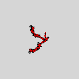 CCCCCCCCC1C(CCCC)CCC(CCCCCCCCN2C(=O)c3ccc(Oc4ccc(C(C)(C)c5ccc(Oc6ccc(C)c(C=O)c6)cc5)cc4)cc3C2=O)C1CCCCCCCCNC(=O)c1ccc(Oc2ccc(C(C)(C)c3ccc(Oc4ccc(C)c(C=O)c4)cc3)cc2)cc1C